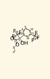 CCOC(=O)C(O)(c1cccc(C(F)(F)F)c1)C(F)(F)F